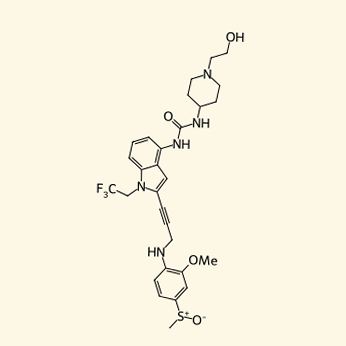 COc1cc([S+](C)[O-])ccc1NCC#Cc1cc2c(NC(=O)NC3CCN(CCO)CC3)cccc2n1CC(F)(F)F